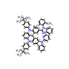 Cc1cccc(C)c1-n1c(-c2ccc3c(c2)B2c4cc5c(cc4N(c4ccc(C(C)(C)C)cc4)c4cccc(c42)N3c2ccc(C(C)(C)C)cc2)c2ccccc2n5-c2ccccn2)nc2ccccc21